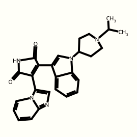 CC(C)N1CCC(n2cc(C3=C(c4cnc5ccccn45)C(=O)NC3=O)c3ccccc32)CC1